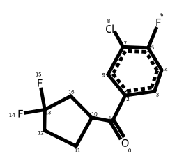 O=C(c1ccc(F)c(Cl)c1)C1CCC(F)(F)C1